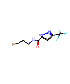 O=C(NCCCBr)c1cc(C(F)(F)F)n[nH]1